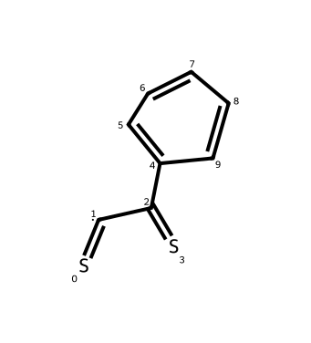 S=[C]C(=S)c1ccccc1